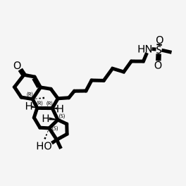 CC1(O)CC[C@H]2[C@@H]3C(CCCCCCCCCNS(C)(=O)=O)CC4=CC(=O)CC[C@]4(C)[C@@H]3CC[C@@]21C